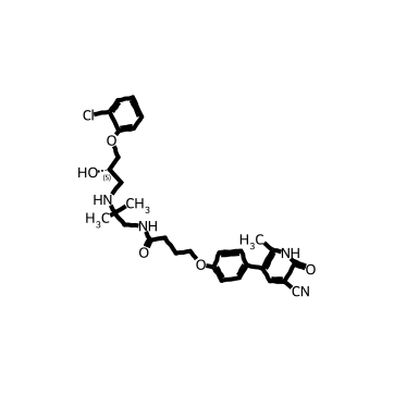 Cc1[nH]c(=O)c(C#N)cc1-c1ccc(OCCCC(=O)NCC(C)(C)NC[C@H](O)COc2ccccc2Cl)cc1